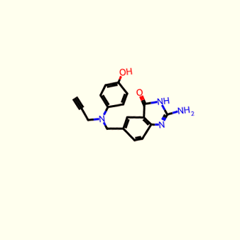 C#CCN(Cc1ccc2nc(N)[nH]c(=O)c2c1)c1ccc(O)cc1